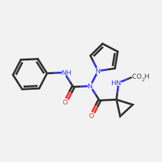 O=C(O)NC1(C(=O)N(C(=O)Nc2ccccc2)n2cccc2)CC1